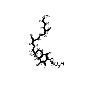 Cc1c(C)c2c(c(C)c1OS(=O)(=O)O)CC[C@@](C)(CCCC(C)CCCC(C)CCCC(C)C)O2